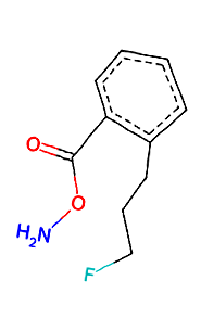 NOC(=O)c1ccccc1CCCF